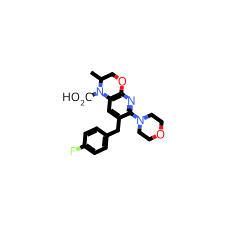 CC1COc2nc(N3CCOCC3)c(Cc3ccc(F)cc3)cc2N1C(=O)O